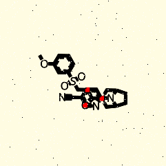 COc1cccc(S(=O)(=O)CCC(=O)N2CC3CCC(C2)N3c2ccc(C#N)cn2)c1